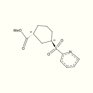 COC(=O)[C@@H]1CCC[C@@H](S(=O)(=O)c2ccccn2)C1